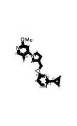 COc1cc(N2CCC(COc3ccnc(C4CC4)n3)C2)c(F)cn1